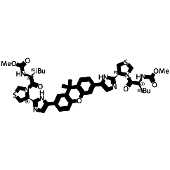 CC[C@H](C)[C@H](NC(=O)OC)C(=O)N1CSC[C@H]1c1ncc(-c2ccc3c(c2)Oc2ccc(-c4cnc([C@@H]5CSCN5C(=O)[C@@H](NC(=O)OC)[C@@H](C)CC)[nH]4)cc2C3(C)C)[nH]1